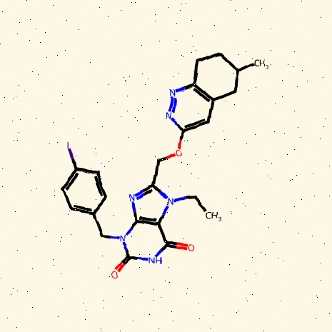 CCn1c(COc2cc3c(nn2)CCC(C)C3)nc2c1c(=O)[nH]c(=O)n2Cc1ccc(I)cc1